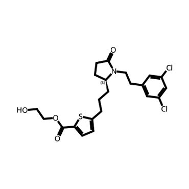 O=C(OCCO)c1ccc(CCC[C@H]2CCC(=O)N2CCc2cc(Cl)cc(Cl)c2)s1